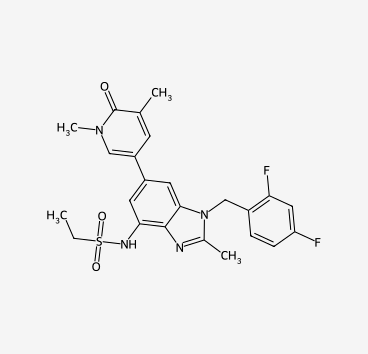 CCS(=O)(=O)Nc1cc(-c2cc(C)c(=O)n(C)c2)cc2c1nc(C)n2Cc1ccc(F)cc1F